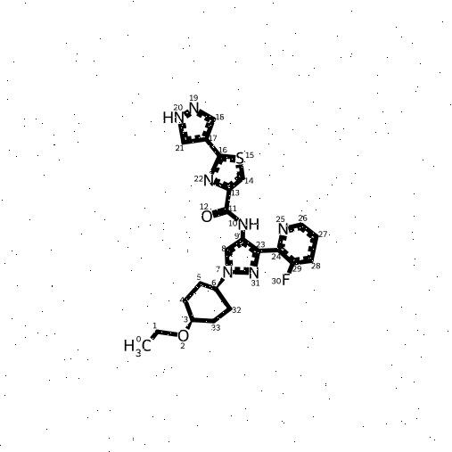 CCO[C@H]1CC[C@@H](n2cc(NC(=O)c3csc(-c4cn[nH]c4)n3)c(-c3ncccc3F)n2)CC1